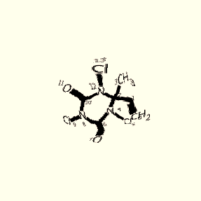 C=CC1(C)N(Cl)C(=O)N(Cl)C(=O)N1Cl